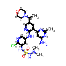 Cc1nc(N)cc(-c2cc(C(C)N3CCOCC3)cnc2Nc2cnc(Cl)c(NS(=O)(=O)NN(C)C)c2)n1